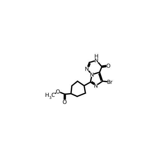 COC(=O)C1CCC(c2nc(Br)c3c(=O)[nH]cnn23)CC1